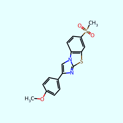 COc1ccc(-c2cn3c(n2)sc2cc(S(C)(=O)=O)ccc23)cc1